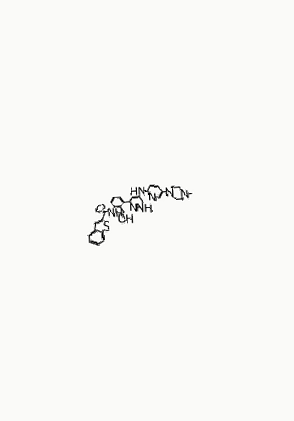 CN1CCN(c2ccc(NC3=CC(c4cccc(NC(=O)c5cc6ccccc6s5)c4CO)=NNC3)nc2)CC1